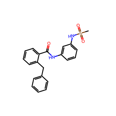 CS(=O)(=O)Nc1cccc(NC(=O)c2ccccc2Cc2ccccc2)c1